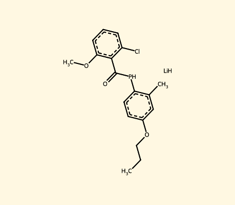 CCCOc1ccc(PC(=O)c2c(Cl)cccc2OC)c(C)c1.[LiH]